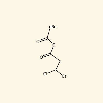 CCCCC(=O)OC(=O)CC(Cl)CC